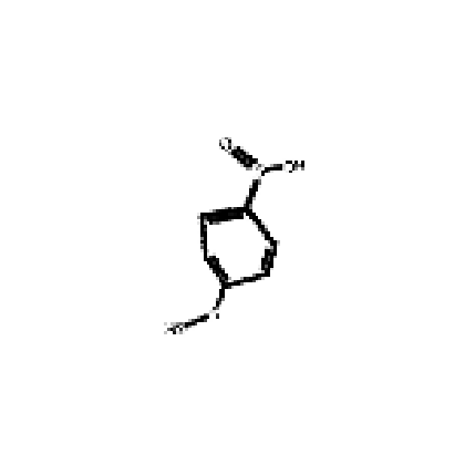 O=S(O)c1ccc(SS)cc1